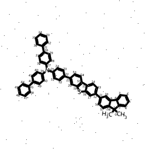 CC1(C)c2ccccc2-c2cc(-c3ccc4c(c3)sc3cc(-c5ccc(N(c6ccc(-c7ccccc7)cc6)c6ccc(-c7ccccc7)cc6)cc5)ccc34)ccc21